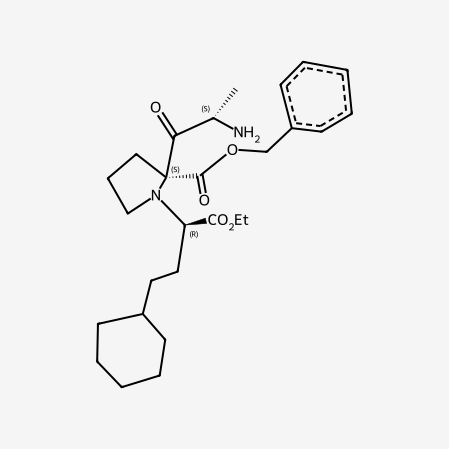 CCOC(=O)[C@@H](CCC1CCCCC1)N1CCC[C@@]1(C(=O)OCc1ccccc1)C(=O)[C@H](C)N